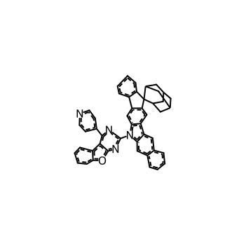 c1ccc2c(c1)-c1cc3c(cc1C21C2CC4CC(C2)CC1C4)c1cc2ccccc2cc1n3-c1nc(-c2ccncc2)c2c(n1)oc1ccccc12